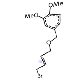 COc1ccc(COC/C=C/CBr)cc1OC